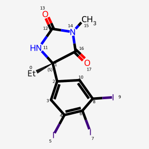 CC[C@@]1(c2cc(I)c(I)c(I)c2)NC(=O)N(C)C1=O